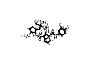 Cc1c(S(=O)(=O)NC2C(C)CCC2CC(C)(O)CO)c2n(c1C(=O)Nc1ccc(F)c(F)c1)CC=C2